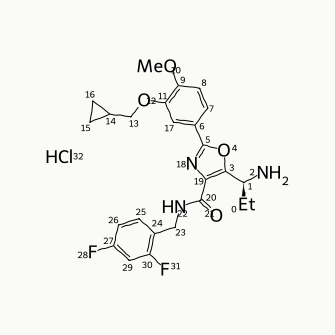 CC[C@H](N)c1oc(-c2ccc(OC)c(OCC3CC3)c2)nc1C(=O)NCc1ccc(F)cc1F.Cl